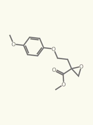 COC(=O)C1(CCOc2ccc(OC)cc2)CO1